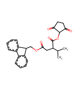 CC(C)C(CC(=O)OCC1c2ccccc2-c2ccccc21)C(=O)OC1C(=O)CCC1=O